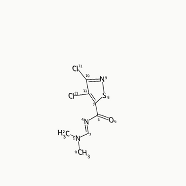 CN(C)C=NC(=O)c1snc(Cl)c1Cl